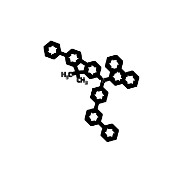 CC1(C)c2cc(-c3ccccc3)ccc2-c2ccc(N(c3ccc(-c4cccc(-c5ccccc5)c4)cc3)c3cc4ccccc4c4ccccc34)cc21